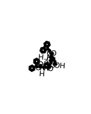 NC(CN(CC(=O)O)C(=O)Cn1ccc(NC(=O)OC(c2ccccc2)c2ccccc2)nc1=O)C(=O)OCC1c2ccccc2-c2ccccc21